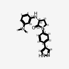 CN(C)c1cccc(N[C@@H]2CCN(c3ccc(-c4cn[nH]c4)cc3)C2=O)c1